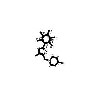 CC1=C(CN2CCC(C)CC2)N=C(c2c(C)c(C)c(C)c(C)c2C)C1